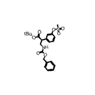 CC(C)(C)OC(=O)C(CNC(=O)OCc1ccccc1)c1cccc(OS(C)(=O)=O)c1